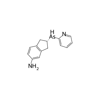 Nc1ccc2c(c1)C[C@@H]([AsH]c1ccccn1)C2